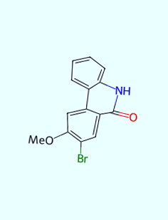 COc1cc2c(cc1Br)c(=O)[nH]c1ccccc12